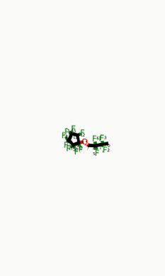 CC(F)(F)C(F)(F)COC1(F)C(F)C(F)(F)C(F)(F)C1(F)F